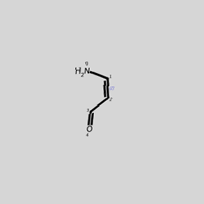 N/C=C\C=O